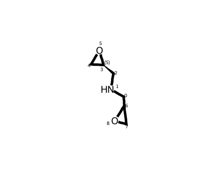 C(NC[C@H]1CO1)C1CO1